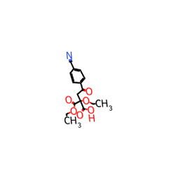 CCOC(=O)C(CC(=O)c1ccc(C#N)cc1)(OCC)C(=O)O